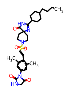 CCCCC1CCC(C2=NC3(CCN(S(=O)(=O)/C=C/c4c(C)cc(N5C(=O)CNC5=O)cc4C)CC3)C(=O)N2)CC1